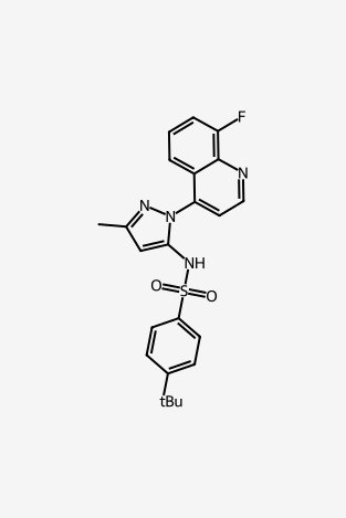 Cc1cc(NS(=O)(=O)c2ccc(C(C)(C)C)cc2)n(-c2ccnc3c(F)cccc23)n1